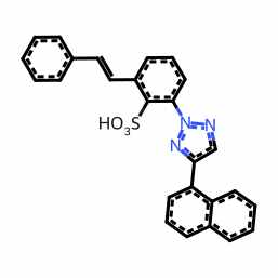 O=S(=O)(O)c1c(C=Cc2ccccc2)cccc1-n1ncc(-c2cccc3ccccc23)n1